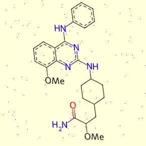 COc1cccc2c(Nc3ccccc3)nc(NC3CCC(CC(OC)C(N)=O)CC3)nc12